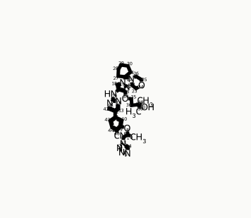 CC(Cn1cnnn1)Oc1cc(-c2cnc(Nc3cn(C4(N5CCOCC5)CCCCC4)nc3OCCC(C)(C)O)nc2)ccc1C#N